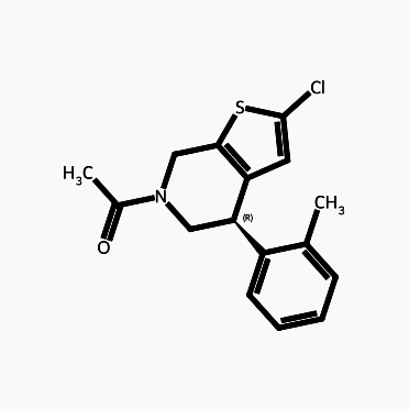 CC(=O)N1Cc2sc(Cl)cc2[C@@H](c2ccccc2C)C1